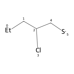 CCCC(Cl)C[S]